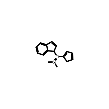 C[Si](C)=[Ti]([C]1=CC=CC1)[CH]1C=Cc2ccccc21